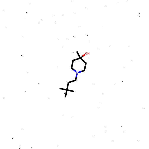 CC(C)(C)CCN1CCC(C)(O)CC1